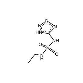 CCNS(=O)(=O)Nc1nnn[nH]1